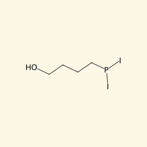 OCCCCP(I)I